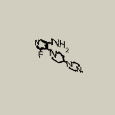 CN1CCN(C2CCN(c3c(N)cncc3F)CC2)CC1